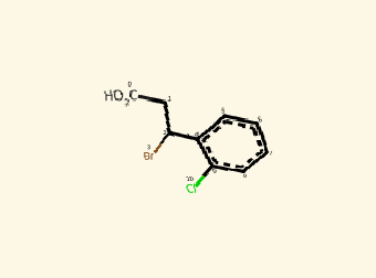 O=C(O)CC(Br)c1ccccc1Cl